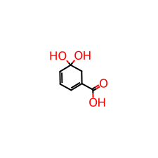 O=C(O)C1=CC=CC(O)(O)C1